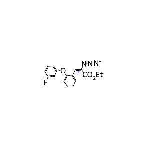 CCOC(=O)/C(=C\c1ccccc1Oc1cccc(F)c1)N=[N+]=[N-]